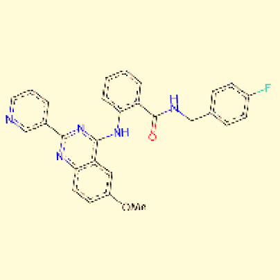 COc1ccc2nc(-c3cccnc3)nc(Nc3ccccc3C(=O)NCc3ccc(F)cc3)c2c1